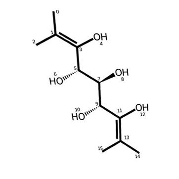 CC(C)=C(O)[C@@H](O)[C@@H](O)[C@@H](O)C(O)=C(C)C